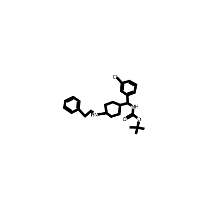 CC(C)(C)OC(=O)NC(c1cccc(Cl)c1)C1CCC(NCCc2ccccc2)CC1